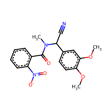 COc1ccc(C(C#N)N(C)C(=O)c2ccccc2[N+](=O)[O-])cc1OC